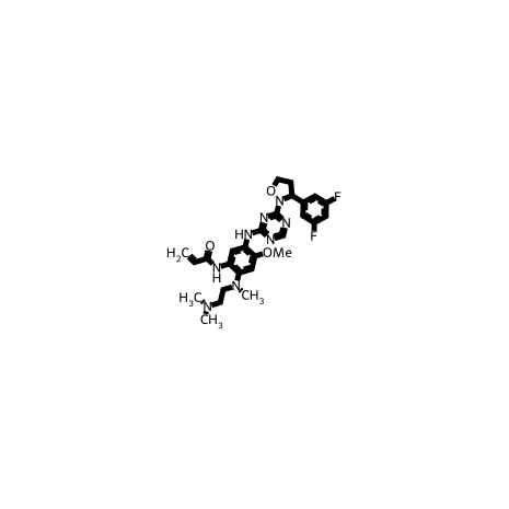 C=CC(=O)Nc1cc(Nc2ncnc(N3OCCC3c3cc(F)cc(F)c3)n2)c(OC)cc1N(C)CCN(C)C